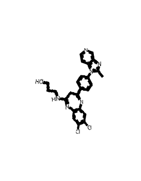 Cc1nc2cnccc2n1-c1ccc(C2=Nc3cc(Cl)c(Cl)cc3N=C(NCCCO)C2)cc1